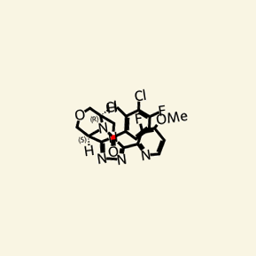 COc1ccnc(-c2nnc3n2C[C@@H]2COC[C@H]3N2C(=O)c2ccc(F)c(Cl)c2Cl)c1F